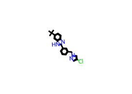 CC(C)(C)c1ccc2nc(-c3cccc(Cn4cc(Cl)cn4)c3)[nH]c2c1